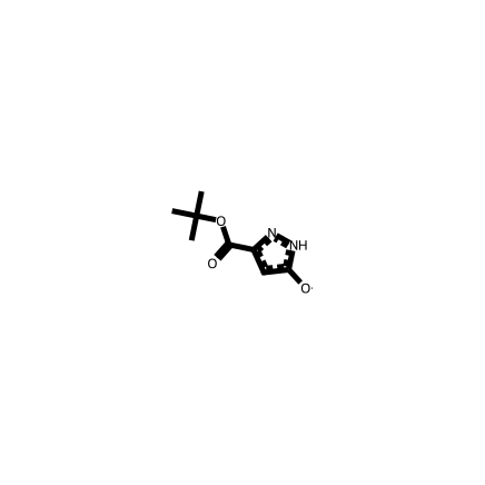 CC(C)(C)OC(=O)c1cc([O])[nH]n1